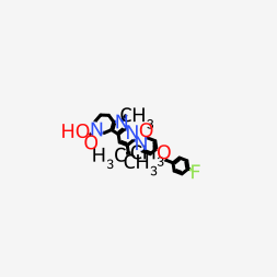 Cn1c2c(c3cc(C(C)(C)C)c(-n4ccc(OCc5ccc(F)cc5)cc4=O)nc31)CN(C(=O)O)CCC2